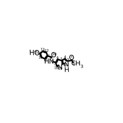 CC(=O)c1cc2cc(NC(=O)c3ccc(O)cc3)cnc2[nH]1